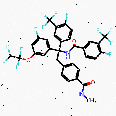 CNC(=O)c1ccc(CC(NC(=O)c2ccc(F)c(C(F)(F)F)c2)(c2cc(F)cc(OC(F)(F)C(F)F)c2)c2ccc(F)c(C(F)(F)F)c2)cc1